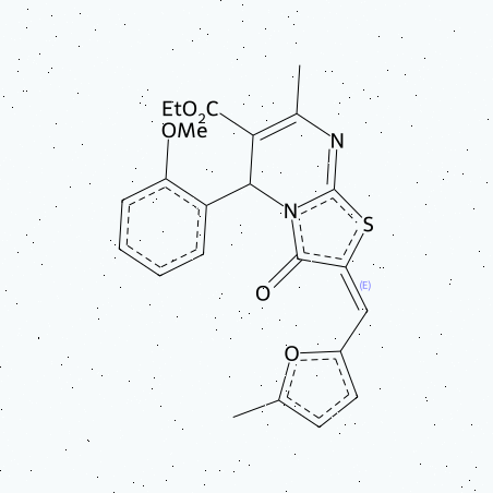 CCOC(=O)C1=C(C)N=c2s/c(=C/c3ccc(C)o3)c(=O)n2C1c1ccccc1OC